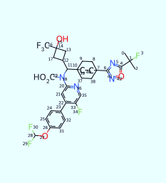 CC(C)(F)c1nc(C23CCC(C(C4CC(O)(C(F)(F)F)C4)N(C(=O)O)c4cc(-c5ccc(OC(F)F)cc5)c(F)cn4)(CC2)CC3)no1